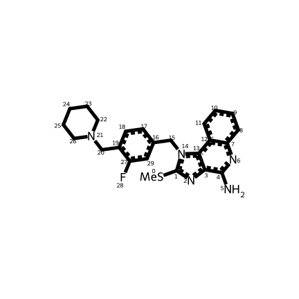 CSc1nc2c(N)nc3ccccc3c2n1Cc1ccc(CN2CCCCC2)c(F)c1